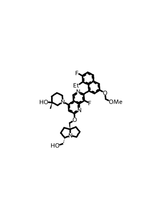 CCc1c(F)ccc2cc(OCOC)cc(-c3ncc4c(N5CCC[C@@](C)(O)C5)cc(OC[C@@]56CCCN5[C@H](CO)CC6)nc4c3F)c12